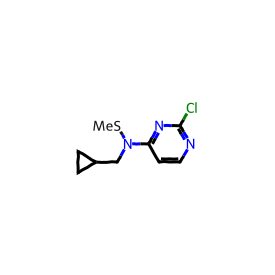 CSN(CC1CC1)c1ccnc(Cl)n1